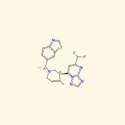 CC1=CCN([C@H](C)c2ccc3ncsc3c2)C[C@H]1c1cc(C(F)F)nc2ncnn12